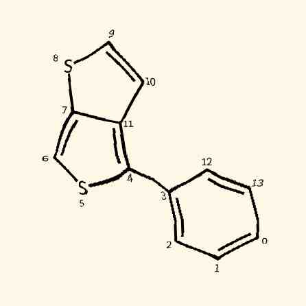 c1ccc(-c2scc3sccc23)cc1